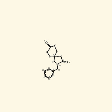 O=C1CCC2(CC1)CC(=O)N(Cc1ccccc1)C2